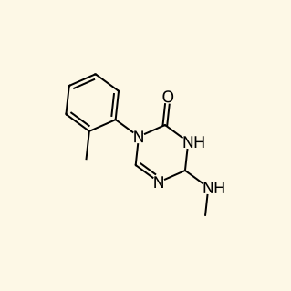 CNC1N=CN(c2ccccc2C)C(=O)N1